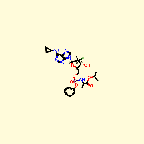 CC(C)OC(=O)C(C)NP(=O)(OC[C@H]1O[C@@H](n2cnc3c(NC4CC4)ncnc32)[C@](C)(F)[C@@H]1O)Oc1ccccc1